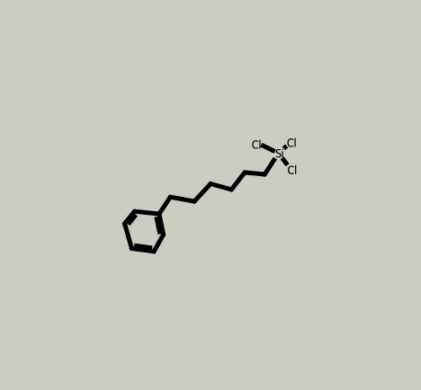 Cl[Si](Cl)(Cl)CCCCCCc1ccccc1